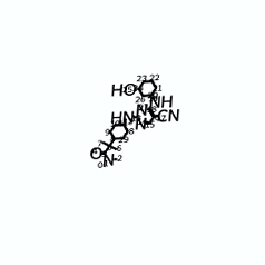 CN(C)C(=O)C(C)(C)C1CCC(Nc2ncc(C#N)c(N[C@@H]3CCC[C@@H](O)C3)n2)CC1